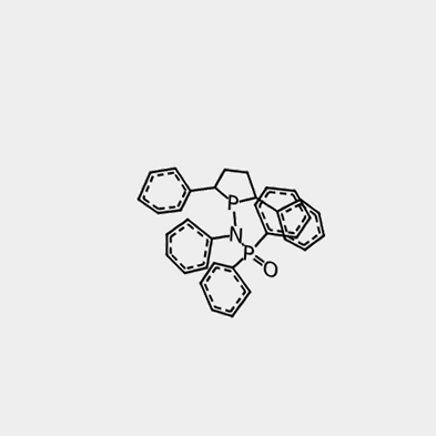 O=P(c1ccccc1)(c1ccccc1)N(c1ccccc1)P1C(c2ccccc2)CCC1c1ccccc1